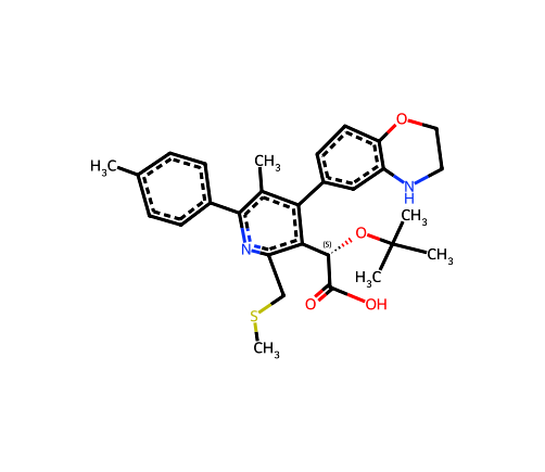 CSCc1nc(-c2ccc(C)cc2)c(C)c(-c2ccc3c(c2)NCCO3)c1[C@H](OC(C)(C)C)C(=O)O